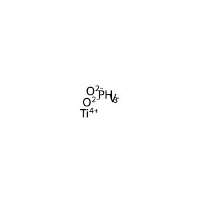 P.[O-2].[O-2].[Ti+4].[V]